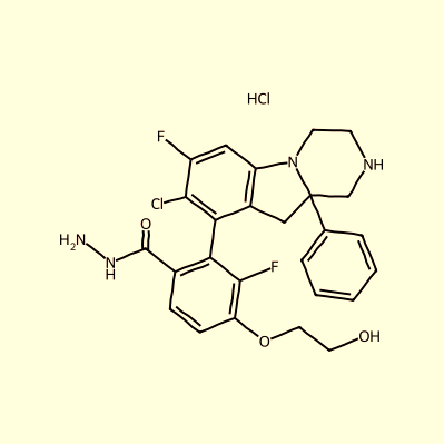 Cl.NNC(=O)c1ccc(OCCO)c(F)c1-c1c(Cl)c(F)cc2c1CC1(c3ccccc3)CNCCN21